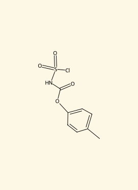 Cc1ccc(OC(=O)NS(=O)(=O)Cl)cc1